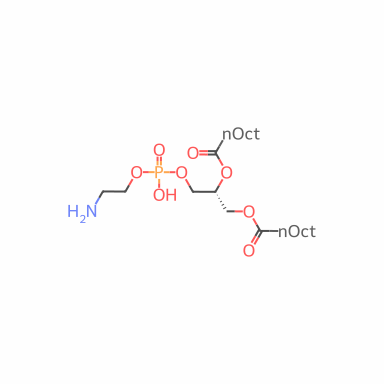 CCCCCCCCC(=O)OC[C@H](COP(=O)(O)OCCN)OC(=O)CCCCCCCC